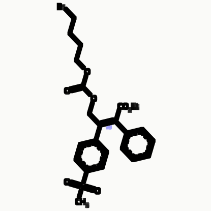 CCOC(=O)/C(=C(\COC(=O)OCCCCBr)c1ccc(S(C)(=O)=O)cc1)c1ccccc1